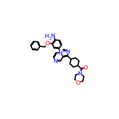 Nc1ccc([N+]23C=CN=CC2=C(C2CCC(C(=O)N4CCOCC4)CC2)N=C3)cc1OCc1ccccc1